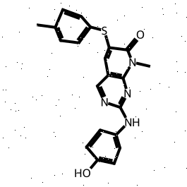 Cc1ccc(Sc2cc3cnc(Nc4ccc(O)cc4)nc3n(C)c2=O)cc1